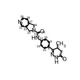 CC1CC(=O)NN=C1c1ccc(NC(=O)N2Cc3ccncc3C2)cc1